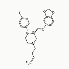 C=CCCN1CC[C@H](c2ccc(F)cc2)[C@@H](COc2ccc3c(c2)OCO3)C1